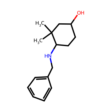 CC1(C)CC(O)CCC1NCc1ccccc1